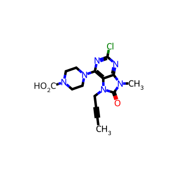 CC#CCn1c(=O)n(C)c2nc(Cl)nc(N3CCN(C(=O)O)CC3)c21